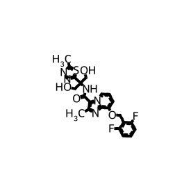 Cc1nnc(C(CO)(CO)NC(=O)c2c(C)nc3c(OCc4c(F)cccc4F)cccn23)s1